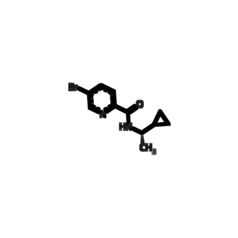 C[C@H](NC(=O)c1ccc(Br)cn1)C1CC1